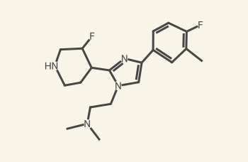 Cc1cc(-c2cn(CCN(C)C)c(C3CCNCC3F)n2)ccc1F